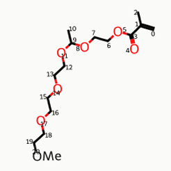 C=C(C)C(=O)OCCOC(C)OCCOCCOCCOC